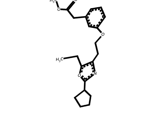 CCc1oc(C2CCCC2)nc1CCOc1cccc(CC(=O)OC)c1